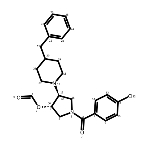 O=CO[C@H]1CN(C(=O)c2ccc(Cl)cc2)C[C@@H]1N1CCC(Cc2ccccc2)CC1